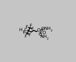 CC(CCCOP(=O)(ON)ON)(C(F)(F)F)C(F)(F)F